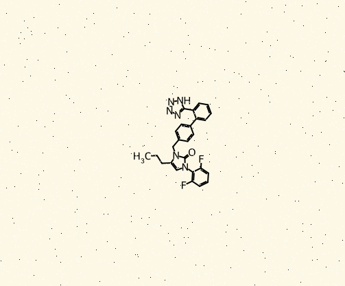 CCCc1cn(-c2c(F)cccc2F)c(=O)n1Cc1ccc(-c2ccccc2-c2nnn[nH]2)cc1